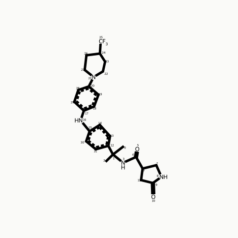 CC(C)(NC(=O)C1CNC(=O)C1)c1ccc(Nc2ccc(N3CCC(C(F)(F)F)CC3)cc2)cc1